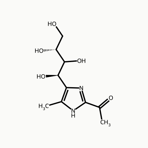 CC(=O)c1nc([C@@H](O)C(O)[C@H](O)CO)c(C)[nH]1